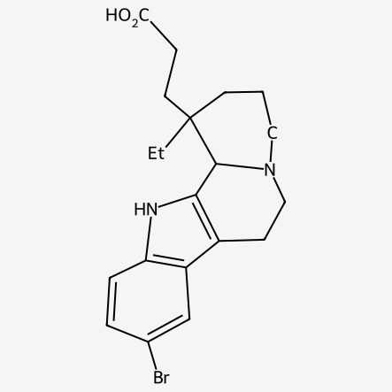 CCC1(CCC(=O)O)CCCN2CCc3c([nH]c4ccc(Br)cc34)C21